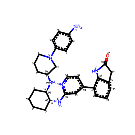 Nc1ccc(N2CCC[C@H](N[C@@H]3CCCC[C@H]3Nc3cc(-c4cccc5c4NC(=O)C5)ccn3)C2)cc1